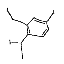 ICc1cc(I)ccc1C(I)I